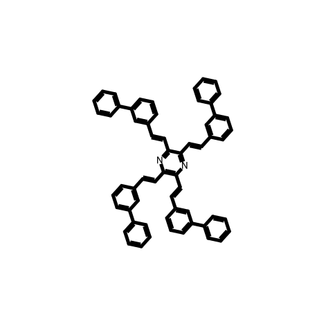 C(=Cc1nc(C=Cc2cccc(-c3ccccc3)c2)c(C=Cc2cccc(-c3ccccc3)c2)nc1C=Cc1cccc(-c2ccccc2)c1)c1cccc(-c2ccccc2)c1